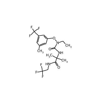 CCN(Oc1cc(C)cc(C(F)(F)F)c1)C(=O)NC(C)(C)C(=O)NCC(F)(F)F